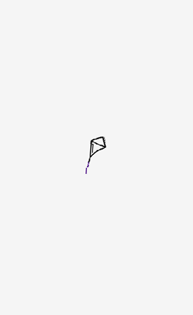 IC1=C2CC12